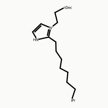 CCCCCCCCCCCC[n+]1cc[nH]c1CCCCCCCC(C)C